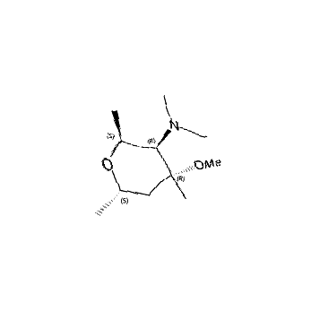 CO[C@]1(C)C[C@H](C)O[C@@H](C)[C@H]1N(C)C